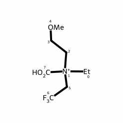 CC[N+](CCOC)(CC(F)(F)F)C(=O)O